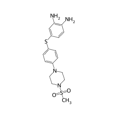 CS(=O)(=O)N1CCN(c2ccc(Sc3ccc(N)c(N)c3)cc2)CC1